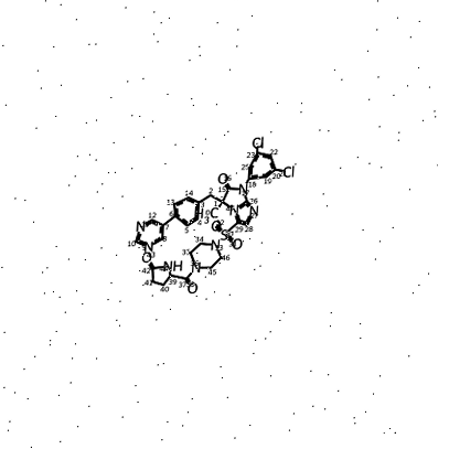 C[C@@]1(Cc2ccc(-c3cncnc3)cc2)C(=O)N(c2cc(Cl)cc(Cl)c2)c2ncc(S(=O)(=O)N3CCN(C(=O)C4CCC(=O)N4)CC3)n21